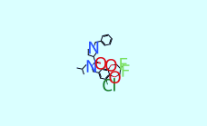 CC(C)CN(Cc1cc(Cl)c2c(c1)OCC(F)(F)CO2)C(=O)C1CCN(Cc2ccccc2)C1